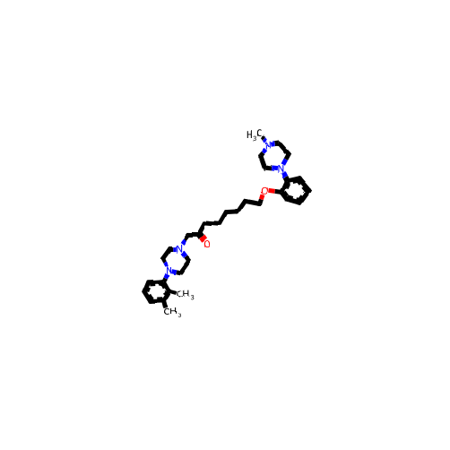 Cc1cccc(N2CCN(CC(=O)CCCCCCOc3ccccc3N3CCN(C)CC3)CC2)c1C